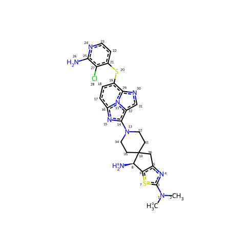 CN(C)c1nc2c(s1)[C@@H](N)C1(CCN(c3nc4ccc(Sc5ccnc(N)c5Cl)c5ncc3n45)CC1)C2